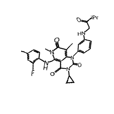 Cc1ccc(Nc2c3c(=O)n(C4CC4)c(=O)n(-c4cccc(NCC(=O)C(C)C)c4)c3c(C)c(=O)n2C)c(F)c1